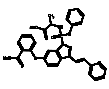 CNC(=O)c1ccccc1Sc1ccc2c(/C=C/c3ccccn3)nn(P(=O)(NC(C)C(=O)OC)Oc3ccccc3)c2c1